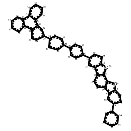 c1ccc(-c2ccc3oc4c(ccc5c6cc(-c7ccc(-c8ccc(-c9ccc%10c%11ccccc%11c%11ccccc%11c%10c9)cc8)cc7)ccc6oc54)c3c2)cc1